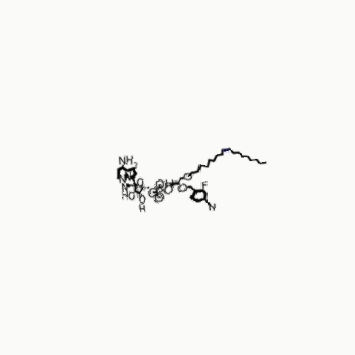 CCCCCCCC/C=C\CCCCCCCCOC[C@H](COP(=O)(O)OC[C@H]1O[C@@](C#N)(c2ccc3c(N)ccnn23)[C@H](O)[C@@H]1O)OCc1ccc(C#N)cc1F